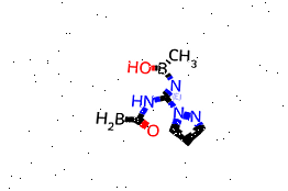 BC(=O)N/C(=N\B(C)O)n1cccn1